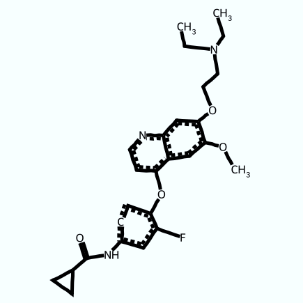 CCN(CC)CCOc1cc2nccc(Oc3ccc(NC(=O)C4CC4)cc3F)c2cc1OC